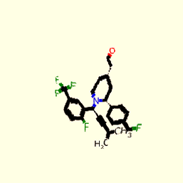 C=C(C)C#C[C@@H](c1cc(C(F)(F)F)ccc1F)N1CC[C@H](CC=O)C[C@@H]1C1C=CC(CF)=CC1